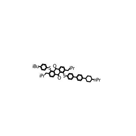 CCCC1CCC(c2ccc(-c3ccc(Sc4c(CC(C)C)ccc5c4C(=O)c4ccc(CC(C)C)c(Sc6ccc(C(C)CC)cc6)c4C5=O)cc3)cc2)CC1